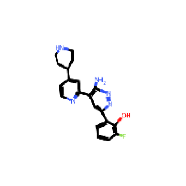 Nc1nnc(-c2cccc(F)c2O)cc1-c1cc(C2CCNCC2)ccn1